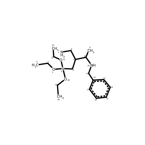 CCO[Si](CC(CN)C(C)NCc1ccccc1)(OCC)OCC